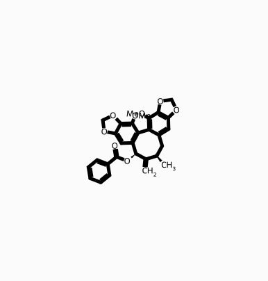 C=C1[C@H](C)Cc2cc3c(c(OC)c2-c2c(cc4c(c2OC)OCO4)[C@H]1OC(=O)c1ccccc1)OCO3